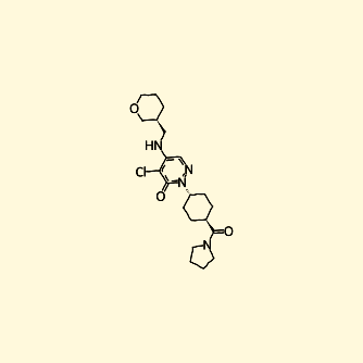 O=c1c(Cl)c(NC[C@@H]2CCCOC2)cnn1[C@H]1CC[C@H](C(=O)N2CCCC2)CC1